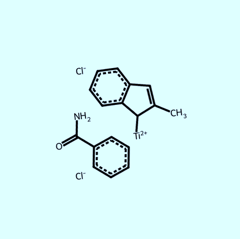 CC1=Cc2ccccc2[CH]1[Ti+2].NC(=O)c1ccccc1.[Cl-].[Cl-]